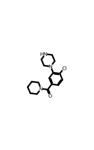 O=C(c1ccc(Cl)c(N2CCNCC2)c1)N1CCCCC1